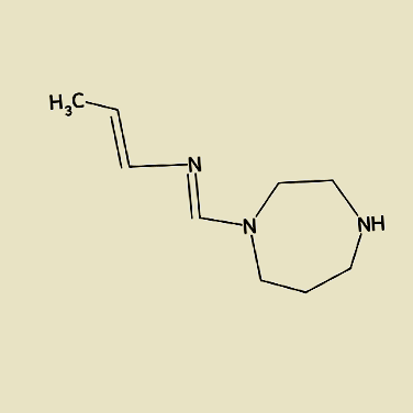 C/C=C/N=C/N1CCCNCC1